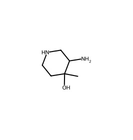 CC1(O)CCNCC1N